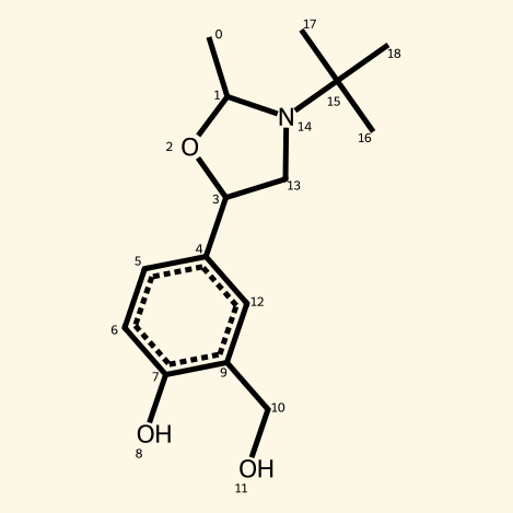 CC1OC(c2ccc(O)c(CO)c2)CN1C(C)(C)C